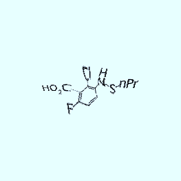 CCCSNc1ccc(F)c(C(=O)O)c1Cl